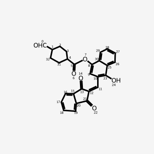 O=CC1CCC(C(=O)Oc2cc(C=C3C(=O)c4ccccc4C3=O)c(O)c3ccccc23)CC1